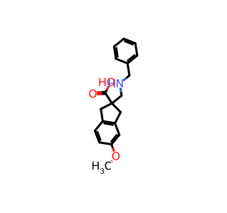 COc1ccc2c(c1)CC(CNCc1ccccc1)(C(=O)O)C2